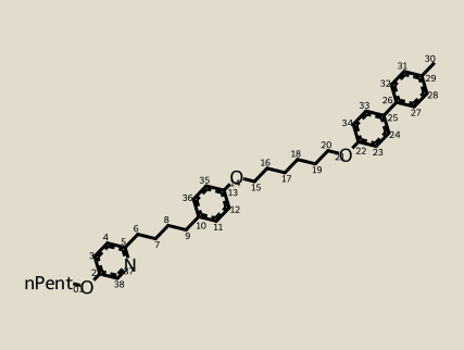 [CH2+][CH-]CCCOc1ccc(CCCCc2ccc(OCCCCCCOc3ccc(-c4ccc(C)cc4)cc3)cc2)nc1